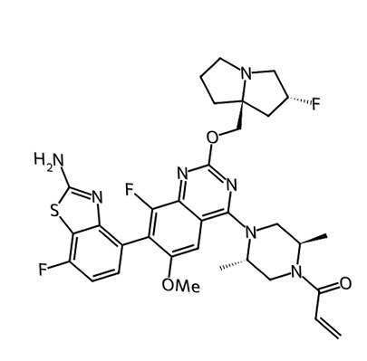 C=CC(=O)N1C[C@H](C)N(c2nc(OC[C@@]34CCCN3C[C@H](F)C4)nc3c(F)c(-c4ccc(F)c5sc(N)nc45)c(OC)cc23)C[C@H]1C